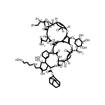 CCCCCCCCCCCCCNCC1=C(O)CC2C(C3=C[C@H](CC[C@H]3O)[C@H]3CC(=O)[C@@H]4NC(=O)[C@H](CC(N)=O)CC(=O)[C@H](NC(=O)[C@H](CC)CC(C)C)[C@H](O)[C@H]5C=C[C@@H](Oc6cc4cc(c6O[C@@H]4C[C@H](CN)[C@@H](O)[C@H](O)[C@H]4O)O[C@@H]4CC[C@@H](C=C4Cl)[C@@H](O)[C@H](NC3=O)C(=O)N[C@@H]2C(=O)CC2C3CC4CC(C3)CC2C4)[C@H](Cl)C5)[C@H]1O